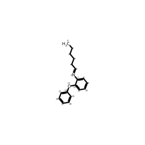 CCCCCC=Nc1ccccc1Oc1ccccc1